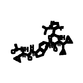 CC(=O)N[C@@H](C(=O)N[C@@H]1CCc2cc(NC(=O)[C@@H](NC(=O)c3c(F)cnn3C(C)C)C(C3CC3)C3CC3)ccc21)C1CC1